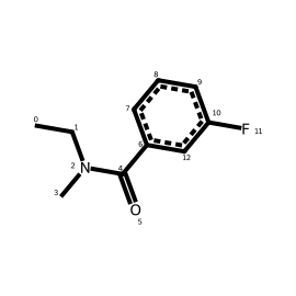 CCN(C)C(=O)c1[c]ccc(F)c1